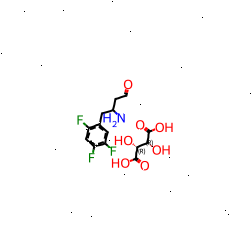 NC(CC=O)Cc1cc(F)c(F)cc1F.O=C(O)[C@H](O)[C@@H](O)C(=O)O